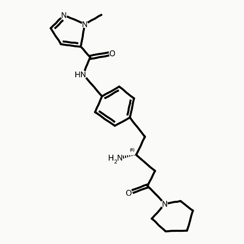 Cn1nccc1C(=O)Nc1ccc(C[C@@H](N)CC(=O)N2CCCCC2)cc1